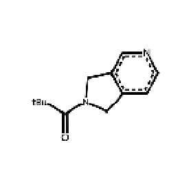 CC(C)(C)C(=O)N1Cc2ccncc2C1